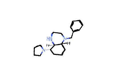 c1ccc(CN2CCN[C@H]3[C@H]2CCC[C@@H]3N2CCCC2)cc1